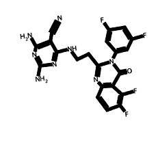 N#Cc1c(N)nc(N)nc1NCCc1nc2ccc(F)c(F)c2c(=O)n1-c1cc(F)cc(F)c1